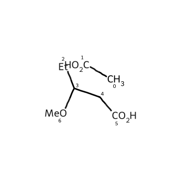 CC(=O)O.CCC(CC(=O)O)OC